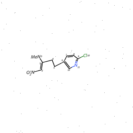 CNC(=C[N+](=O)[O-])CCc1ccc(Cl)nc1